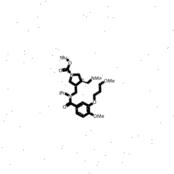 CNC[C@@H]1CN(C(=O)OC(C)(C)C)CC1CN(C(=O)c1ccc(OC)c(OCCCOC)c1)C(C)C